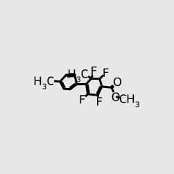 COC(=O)C1=C(F)C(F)=C(c2ccc(C)cc2)C(C)(F)C1F